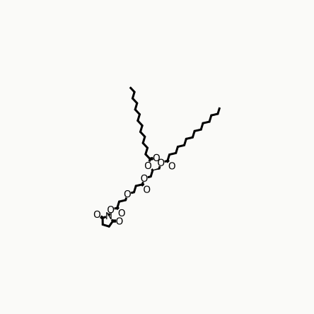 CCCCCCCCCCCCCC(=O)OC[C@@H](COC(=O)CCOCCC(=O)ON1C(=O)CCC1=O)OC(=O)CCCCCCCCCCCCC